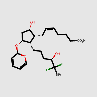 CCCC(F)(F)[C@H](O)CCC[C@H]1[C@@H](C/C=C\CCCC(=O)O)[C@@H](O)C[C@H]1O[C@@H]1C=CC=CO1